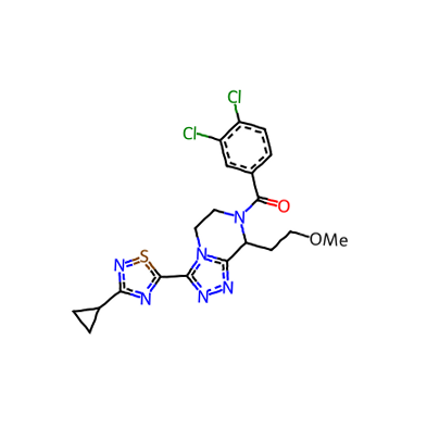 COCCC1c2nnc(-c3nc(C4CC4)ns3)n2CCN1C(=O)c1ccc(Cl)c(Cl)c1